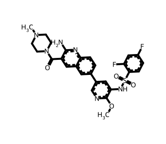 COc1ncc(-c2ccc3nc(N)c(C(=O)N4CCN(C)CC4)cc3c2)cc1NS(=O)(=O)c1ccc(F)cc1F